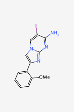 COc1ccccc1-c1cn2cc(I)c(N)nc2n1